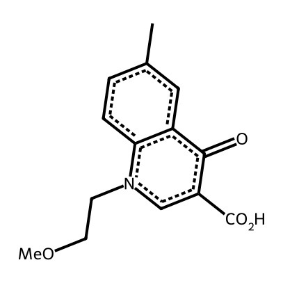 COCCn1cc(C(=O)O)c(=O)c2cc(C)ccc21